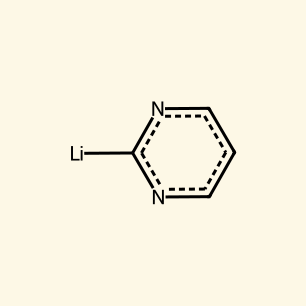 [Li][c]1ncccn1